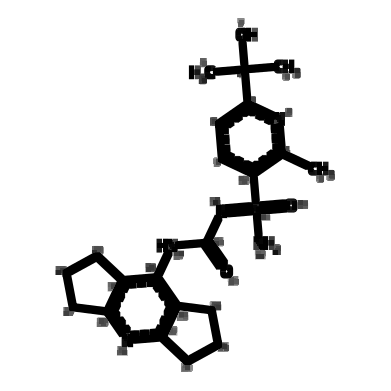 Cc1nc(C(C)(C)O)ccc1S(N)(=O)=NC(=O)Nc1c2c(nc3c1CCC3)CCC2